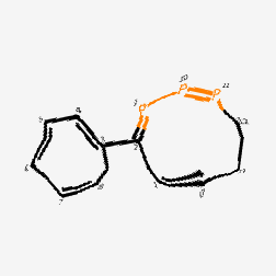 C1=CC(c2ccccc2)=PP=PCC1